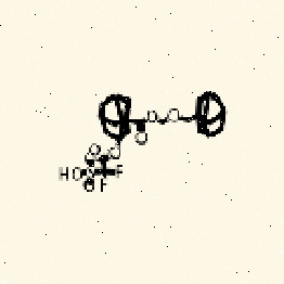 O=C(OCOCC12CC3CC(CC(C3)C1)C2)C12CC3CC(CC(OC(=O)C(F)(F)S(=O)(=O)O)(C3)C1)C2